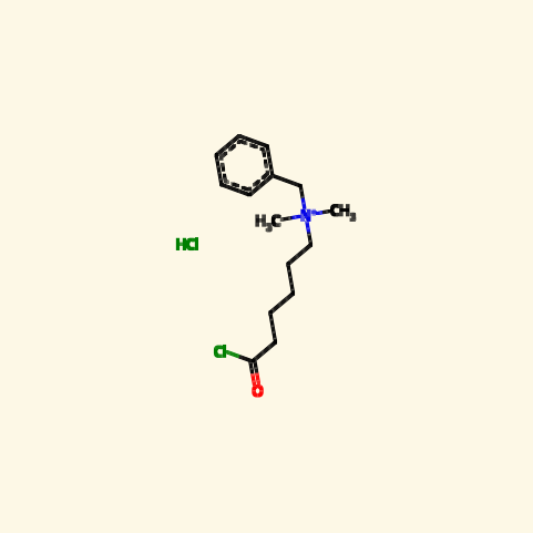 C[N+](C)(CCCCCC(=O)Cl)Cc1ccccc1.Cl